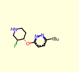 CC(C)(C)c1ccc(O[C@H]2CCNC[C@@H]2F)nn1